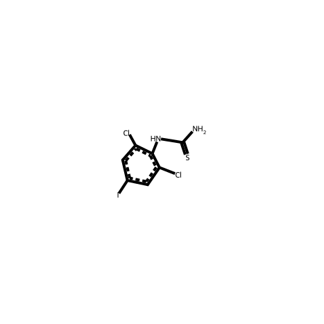 NC(=S)Nc1c(Cl)cc(I)cc1Cl